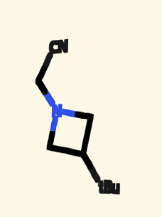 CC(C)(C)C1CN(CC#N)C1